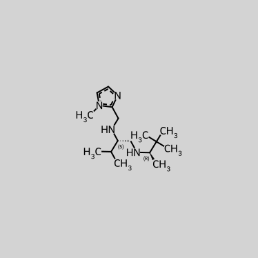 CC(C)[C@@H](CN[C@H](C)C(C)(C)C)NCc1nccn1C